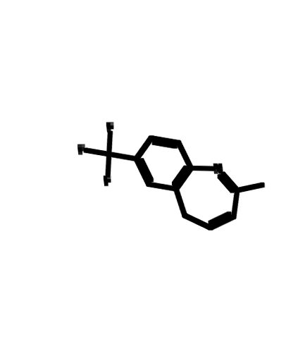 CC1=Nc2ccc(C(F)(F)F)cc2CC=C1